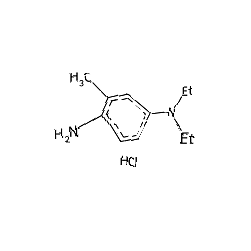 CCN(CC)c1ccc(N)c(C)c1.Cl